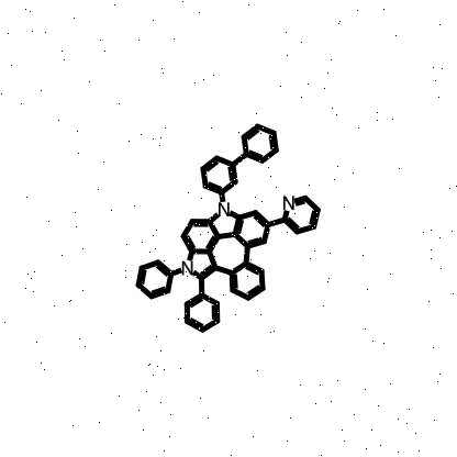 c1ccc(-c2cccc(-n3c4cc(-c5ccccn5)cc5c4c4c6c(c(-c7ccccc7)n(-c7ccccc7)c6ccc43)-c3ccccc3-5)c2)cc1